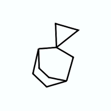 C1CC2CCC1CC21CC1